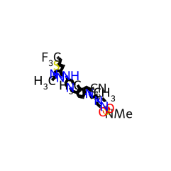 CNS(=O)(=O)N1CCN([C@@H](C)Cn2c(C#N)cc3c(C)c(CN4CCC(Nc5nc(C)nc6sc(CC(F)(F)F)cc56)CC4)ccc32)CC1